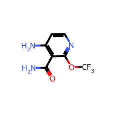 NC(=O)c1c(N)ccnc1OC(F)(F)F